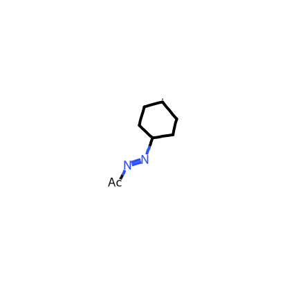 CC(=O)N=NC1CC[CH]CC1